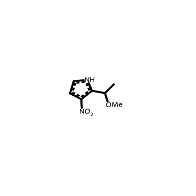 COC(C)c1[nH]ccc1[N+](=O)[O-]